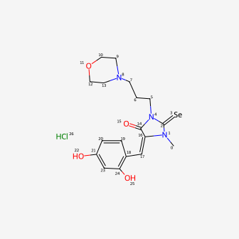 CN1C(=[Se])N(CCCN2CCOCC2)C(=O)C1=Cc1ccc(O)cc1O.Cl